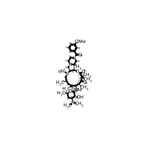 CCCN1C[C@H](C)C[C@@](C)(OC)[C@H](O[C@@H]2O[C@H](C)C[C@H](N(C)C)[C@H]2O)[C@@H](C)C(=O)C(C)(C)C(=O)O[C@@H](C)[C@@H]1CN1CCN(C(=O)c2cccc(OC)c2)CC1